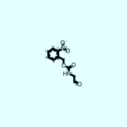 O=[C]CNC(=O)OCc1ccccc1[N+](=O)[O-]